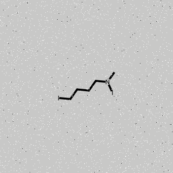 CN(I)CCCCI